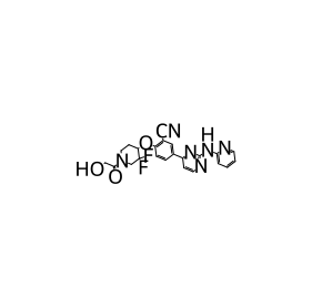 N#Cc1cc(-c2ccnc(Nc3ccccn3)n2)ccc1OC1CCN(C(=O)CO)CC1(F)F